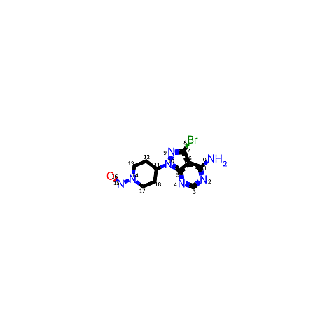 Nc1ncnc2c1c(Br)nn2C1CCN(N=O)CC1